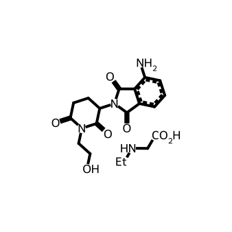 CCNCC(=O)O.Nc1cccc2c1C(=O)N(C1CCC(=O)N(CCO)C1=O)C2=O